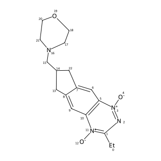 CCc1n[n+]([O-])c2cc3c(cc2[n+]1[O-])CC(CN1CCOCC1)C3